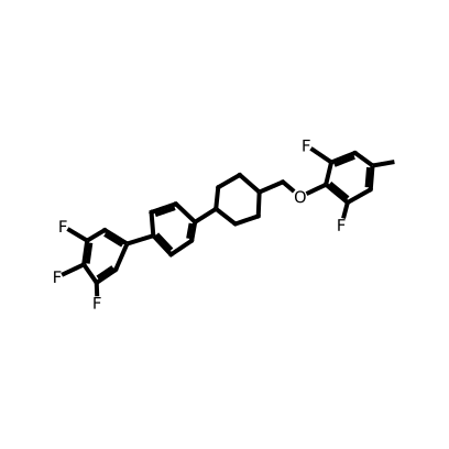 Cc1cc(F)c(OCC2CCC(c3ccc(-c4cc(F)c(F)c(F)c4)cc3)CC2)c(F)c1